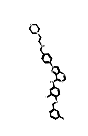 Fc1cccc(COc2ccc(Nc3ncnc4cn(-c5ccc(CNCCN6CCOCC6)cc5)nc34)cc2Cl)c1